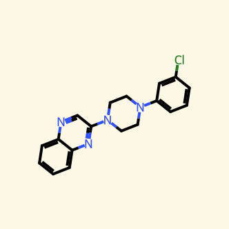 Clc1cccc(N2CCN(c3cnc4ccccc4n3)CC2)c1